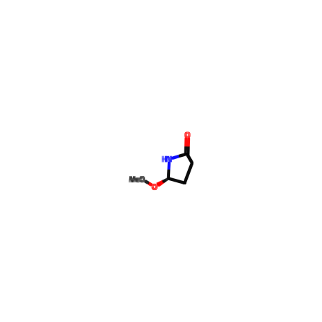 COO[C@@H]1CCC(=O)N1